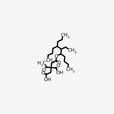 CCCCC(CCC)C(CC)C(CCCC)OC(=O)CC(CC(=O)O)(C(C)=O)C(=O)O